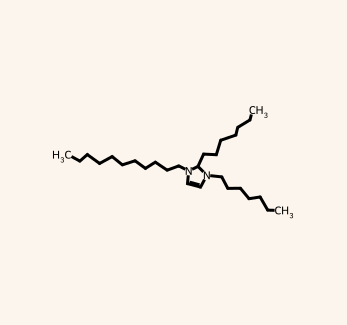 CCCCCCCCCCCN1C=CN(CCCCCCC)C1CCCCCCC